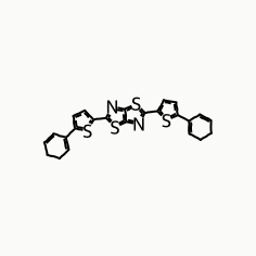 C1=CC(c2ccc(-c3nc4sc(-c5ccc(C6=CCCC=C6)s5)nc4s3)s2)=CCC1